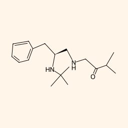 CC(C)C(=O)CNC[C@H](Cc1ccccc1)NC(C)(C)C